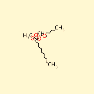 CCCCCCCCCC[Si](OC)(OC)OCOCCCCC